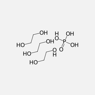 O=P(O)(O)O.OCCO.OCCO.OCCO